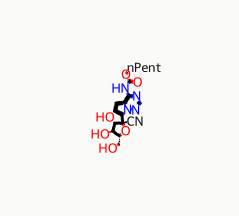 CCCCCOC(=O)Nc1ncnn2c([C@]3(C#N)O[C@H](CO)[C@@H](O)[C@H]3O)ccc12